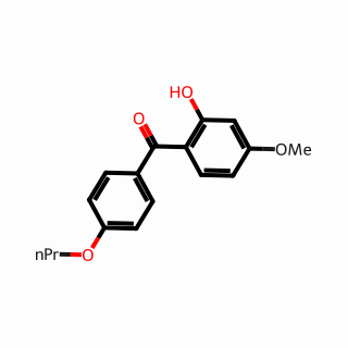 CCCOc1ccc(C(=O)c2ccc(OC)cc2O)cc1